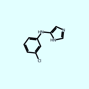 Clc1cccc(Nc2cnc[nH]2)c1